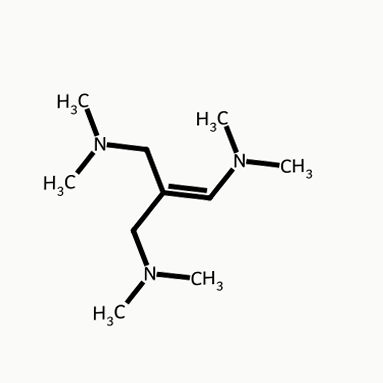 CN(C)C=C(CN(C)C)CN(C)C